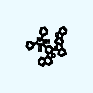 c1ccc(C2=NC(c3ccccc3)NC(c3cc(-n4c5ccccc5c5cc6c(cc54)oc4ccccc46)c4oc5ccc6ccccc6c5c4c3)N2)cc1